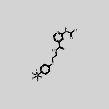 CCC(=O)Nc1cc(C(=O)NCCOc2ccc(S(F)(F)(F)(F)F)cc2)ccn1